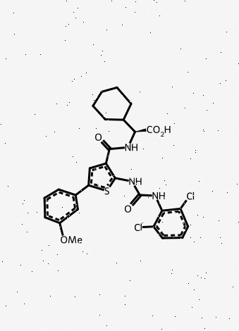 COc1cccc(-c2cc(C(=O)N[C@H](C(=O)O)C3CCCCC3)c(NC(=O)Nc3c(Cl)cccc3Cl)s2)c1